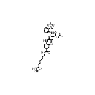 COc1cc(C(=O)NCCCCCCC(=O)NO)ccc1Nc1ncc(C(=O)OC(C)C)c(Nc2ccccc2N(C)S(C)(=O)=O)n1